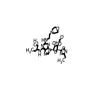 CCc1noc([C@H]2O[C@@H](n3cnc4c(NC(CC)CC)nc(NCCN5CCOCC5)nc43)[C@H](O)[C@@H]2OC=O)n1